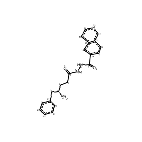 N[C@H](CCC(=O)NNC(=O)c1ccc2cnccc2c1)Cc1ccccc1